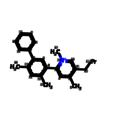 Cc1cc(-c2cc(-c3ccccc3)c(C)cc2C)[n+](C)cc1CC(C)C